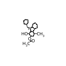 CC(=O)Oc1cc(C)c2c3ccccc3n(Cc3ccccc3)c2c1O